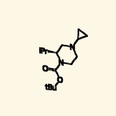 CC(C)[C@H]1CN(C2CC2)CCN1C(=O)OC(C)(C)C